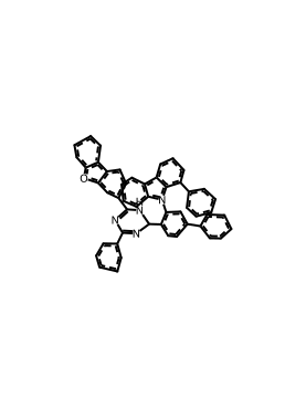 c1ccc(C2=NC(c3ccc(-c4ccccc4)cc3-n3c4ccccc4c4cccc(-c5ccccc5)c43)NC(c3ccc4c(c3)oc3ccccc34)=N2)cc1